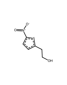 O=[N+]([O-])c1ccc(CCO)s1